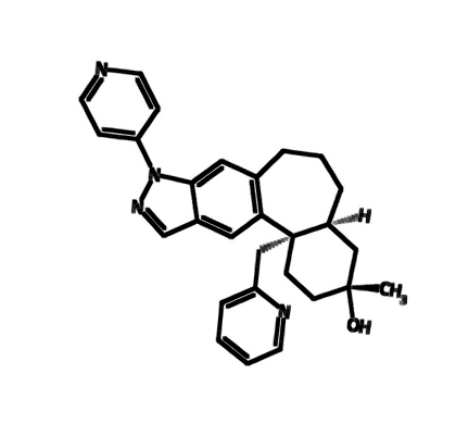 C[C@@]1(O)CC[C@@]2(Cc3ccccn3)c3cc4cnn(-c5ccncc5)c4cc3CCC[C@H]2C1